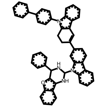 C1=C(c2ccc3c4ccccc4n(C4Nc5c(oc6ccccc56)C(c5ccccc5)N4)c3c2)CCc2c1c1ccccc1n2-c1ccc(-c2ccccc2)cc1